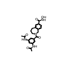 CC(=O)Nc1cc(NC(C)=O)cc(C(=O)N2CCCc3cc(C(=O)NO)ccc3C2)c1